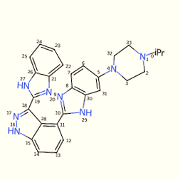 CC(C)N1CCN(c2ccc3nc(-c4cccc5[nH]nc(-c6nc7ccccc7[nH]6)c45)[nH]c3c2)CC1